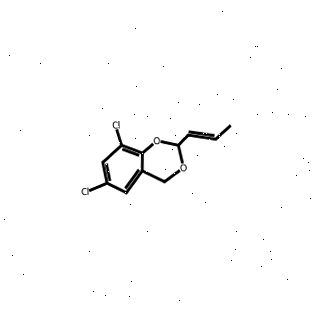 CC=CC1OCc2cc(Cl)cc(Cl)c2O1